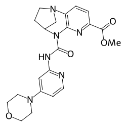 COC(=O)c1ccc2c(n1)N(C(=O)Nc1cc(N3CCOCC3)ccn1)C1CCN2C1